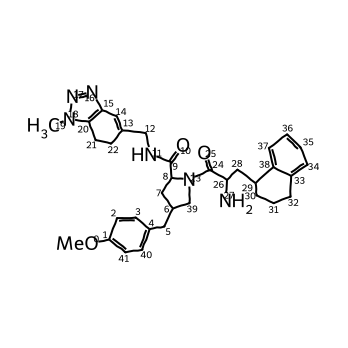 COc1ccc(CC2CC(C(=O)NCC3=Cc4nnn(C)c4CC3)N(C(=O)C(N)CC3CCCc4ccccc43)C2)cc1